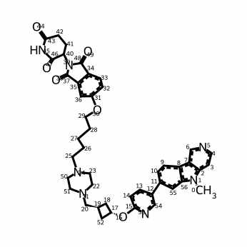 Cn1c2ccncc2c2ccc(-c3ccc(O[C@H]4C[C@H](CN5CCN(CCCCCOc6ccc7c(c6)C(=O)N(C6CCC(=O)NC6=O)C7=O)CC5)C4)nc3)cc21